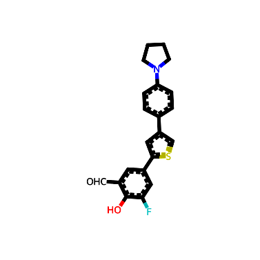 O=Cc1cc(-c2cc(-c3ccc(N4CCCC4)cc3)cs2)cc(F)c1O